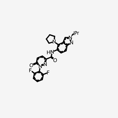 CC(C)n1cc2c(N3CCCC3)c(NC(=O)c3ccc(=O)n(-c4c(F)cccc4F)n3)ccc2n1